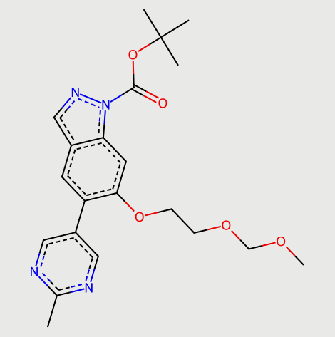 COCOCCOc1cc2c(cnn2C(=O)OC(C)(C)C)cc1-c1cnc(C)nc1